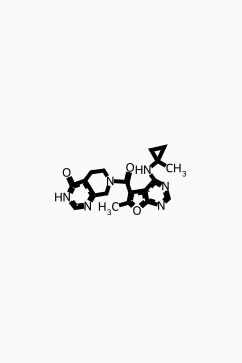 Cc1oc2ncnc(NC3(C)CC3)c2c1C(=O)N1CCc2c(nc[nH]c2=O)C1